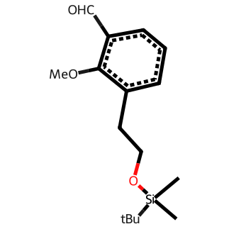 COc1c(C=O)cccc1CCO[Si](C)(C)C(C)(C)C